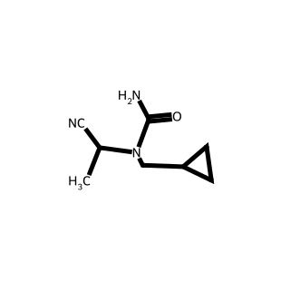 CC(C#N)N(CC1CC1)C(N)=O